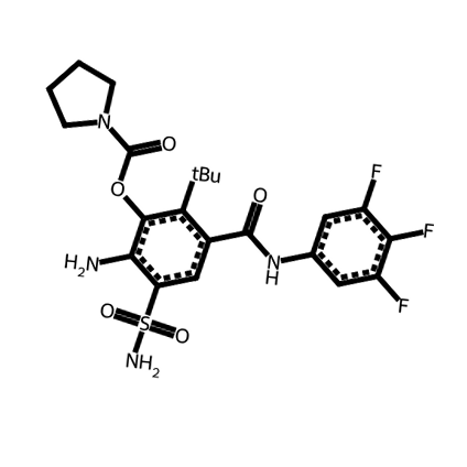 CC(C)(C)c1c(C(=O)Nc2cc(F)c(F)c(F)c2)cc(S(N)(=O)=O)c(N)c1OC(=O)N1CCCC1